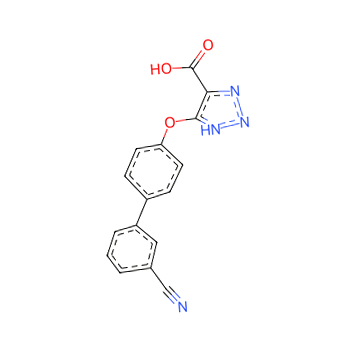 N#Cc1cccc(-c2ccc(Oc3[nH]nnc3C(=O)O)cc2)c1